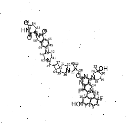 CCc1c(F)ccc2cc(O)cc(-c3ncc4c(N5CCC[C@@](C)(O)C5)nc(OCC5(CN6CCC7(CC6)CC(CN6CCN(c8ccc9c(c8)CN([C@H]8CCC(=O)NC8=O)C9=O)CC6)C7)CC5)nc4c3F)c12